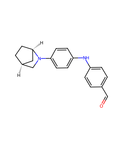 O=Cc1ccc(Nc2ccc(N3C[C@H]4CC[C@@H]3C4)cc2)cc1